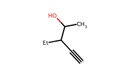 [C]#CC(CC)C(C)O